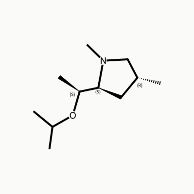 CC(C)O[C@@H](C)[C@@H]1C[C@@H](C)CN1C